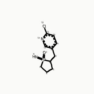 N=S1(=O)CCCC1Cc1ccc(Cl)nc1